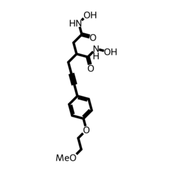 COCCOc1ccc(C#CCC(CC(=O)NO)C(=O)NO)cc1